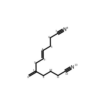 C=C(CC=CCCC#N)CCCC#N